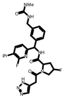 CNC(=O)NCc1cccc(C(NC(=O)C2CC(F)CN2C(=O)Cc2cnn[nH]2)c2ccc(C(C)C)c(F)n2)c1